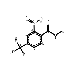 COC(=O)c1ncc(C(F)(F)F)cc1[N+](=O)[O-]